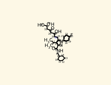 CC(C)c1c(C(=O)NCC2CCCCC2)nn(-c2ccc(F)cc2)c1/C=C/[C@@H](O)C[C@@H](O)CC(=O)O